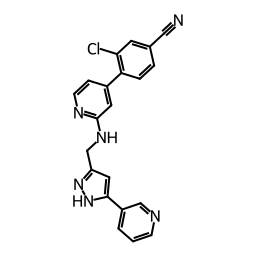 N#Cc1ccc(-c2ccnc(NCc3cc(-c4cccnc4)[nH]n3)c2)c(Cl)c1